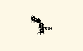 O=c1cc(-c2ccnc(NC3CCOCC3)c2)ccn1[C@H](CCO)c1ccc(Cl)c(F)c1